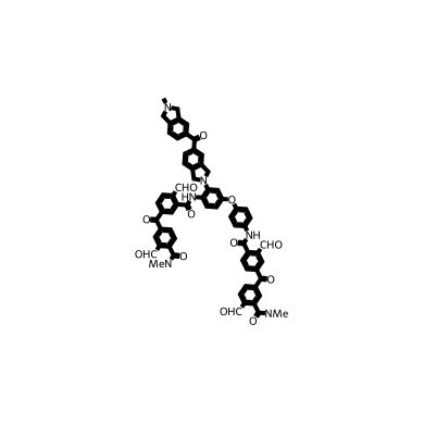 CNC(=O)c1ccc(C(=O)c2ccc(C=O)c(C(=O)Nc3ccc(Oc4ccc(NC(=O)c5ccc(C(=O)c6ccc(C=O)c(C(=O)NC)c6)cc5C=O)cc4)cc3N3Cc4ccc(C(=O)c5ccc6c(c5)CN(C)C6)cc4C3)c2)cc1C=O